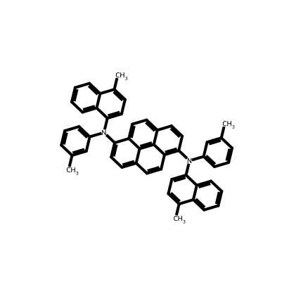 Cc1cccc(N(c2ccc(C)c3ccccc23)c2ccc3ccc4c(N(c5cccc(C)c5)c5ccc(C)c6ccccc56)ccc5ccc2c3c54)c1